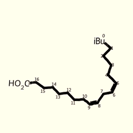 CCC(C)CCCC/C=C\C/C=C\CCCCCCCC(=O)O